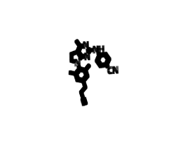 C#CCCc1cc(C)c(N2CCc3c(C)nc(Nc4ccc(C#N)cc4)nc32)c(C)c1